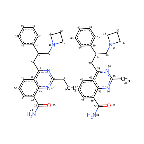 CCc1nc(CC(CN2CCC2)c2ccccc2)c2cccc(C(N)=O)c2n1.Cc1nc(CC(CN2CCC2)c2ccccc2)c2cccc(C(N)=O)c2n1